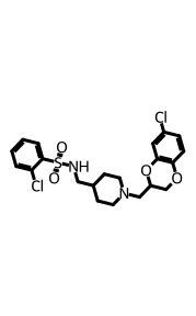 O=S(=O)(NCC1CCN(CC2COc3ccc(Cl)cc3O2)CC1)c1ccccc1Cl